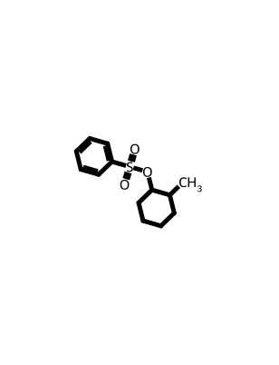 CC1CCCCC1OS(=O)(=O)c1ccccc1